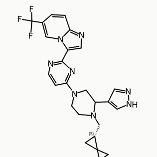 FC(F)(F)c1ccc2ncc(-c3nccc(N4CCN(C[C@H]5CC56CC6)C(c5cn[nH]c5)C4)n3)n2c1